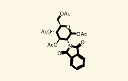 CC(=O)OC[C@H]1OC(OC(C)=O)[C@H](N2C(=O)c3ccccc3C2=O)[C@@H](OC(C)=O)[C@@H]1OC(C)=O